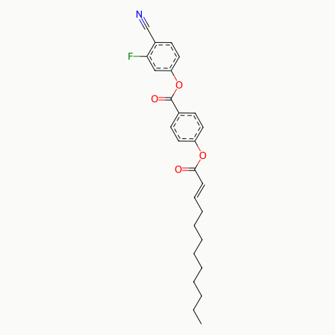 CCCCCCCCC/C=C/C(=O)Oc1ccc(C(=O)Oc2ccc(C#N)c(F)c2)cc1